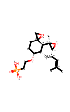 CO[C@@H]1[C@H](OCCP(=O)(O)O)CC[C@]2(CO2)[C@H]1[C@@]1(C)O[C@@H]1CC=C(C)C